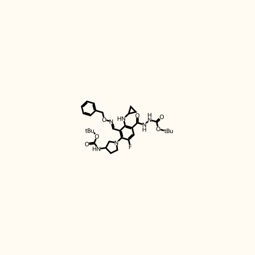 CC(C)(C)OC(=O)NNC(=O)c1cc(F)c(N2CCC(NC(=O)OC(C)(C)C)C2)c(C=NOCc2ccccc2)c1NC1CC1